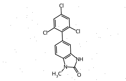 Cn1c(=O)[nH]c2cc(-c3c(Cl)cc(Cl)cc3Cl)ccc21